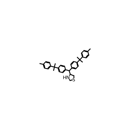 Cc1ccc(C(C)(C)c2ccc(C(c3ccc(C(C)(C)c4ccc(C)cc4)cc3)C3CSCN3)cc2)cc1